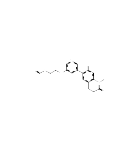 CN1C(=O)CCc2cc(-c3cncc(OCCNC=O)c3)c(F)cc21